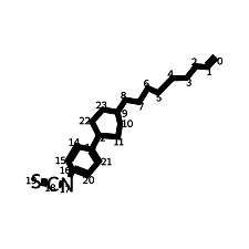 C=CCCCCCCCC1CCC(c2ccc(N=C=S)cc2)CC1